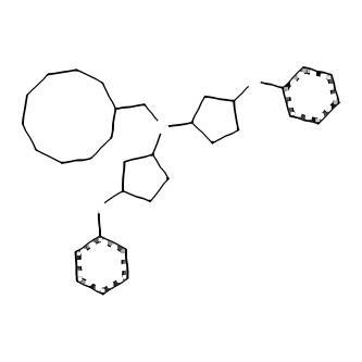 c1ccc(OC2CCC(N(CC3CCCCCCCCC3)C3CCC(Oc4ccccc4)C3)C2)cc1